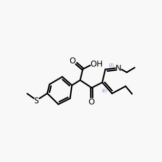 CC/C=C(\C=N/CC)C(=O)C(C(=O)O)c1ccc(SC)cc1